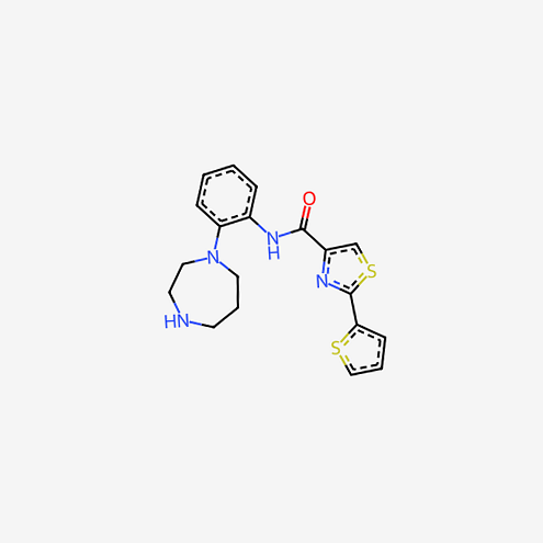 O=C(Nc1ccccc1N1CCCNCC1)c1csc(-c2cccs2)n1